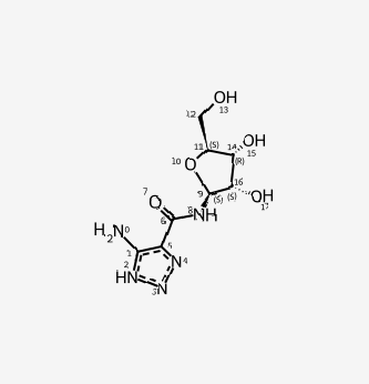 Nc1[nH]nnc1C(=O)N[C@H]1O[C@@H](CO)[C@H](O)[C@@H]1O